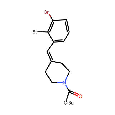 CCc1c(Br)cccc1C=C1CCN(C(=O)OCC(C)C)CC1